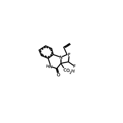 C=CCN1c2ccccc2NC(=O)C1(C(=O)O)C(F)F